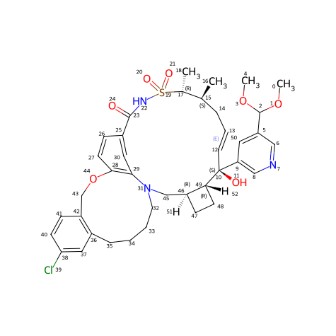 COC(OC)c1cncc([C@@]2(O)/C=C/C[C@H](C)[C@@H](C)S(=O)(=O)NC(=O)c3ccc4c(c3)N(CCCCc3cc(Cl)ccc3CO4)C[C@@H]3CC[C@H]32)c1